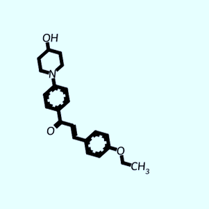 CCOc1ccc(C=CC(=O)c2ccc(N3CCC(O)CC3)cc2)cc1